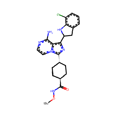 CC(C)(C)ONC(=O)[C@H]1CC[C@H](c2nc(C3Cc4cccc(Cl)c4N3)c3c(N)nccn32)CC1